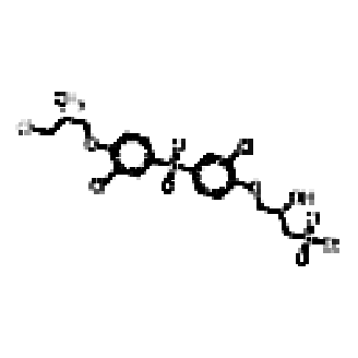 CCS(=O)(=O)C[C@H](O)COc1ccc(S(=O)(=O)c2ccc(OC[C@@H](C)CCl)c(Cl)c2)cc1Cl